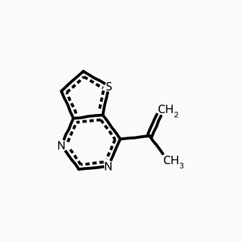 C=C(C)c1ncnc2ccsc12